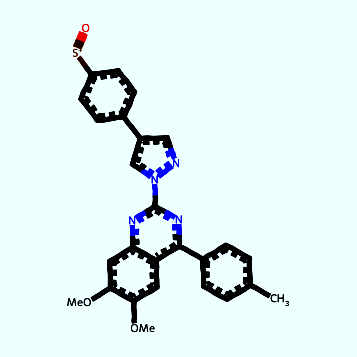 COc1cc2nc(-n3cc(-c4ccc([S+]=O)cc4)cn3)nc(-c3ccc(C)cc3)c2cc1OC